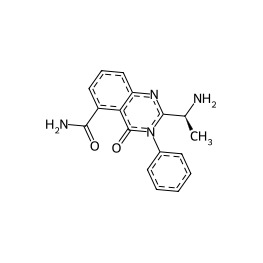 C[C@H](N)c1nc2cccc(C(N)=O)c2c(=O)n1-c1ccccc1